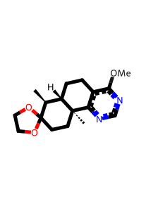 COc1ncnc2c1CC[C@H]1[C@H](C)C3(CC[C@]21C)OCCO3